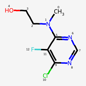 CN(CCO)c1ncnc(Cl)c1F